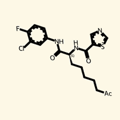 CC(=O)CCCCC[C@H](NC(=O)c1cncs1)C(=O)Nc1ccc(F)c(Cl)c1